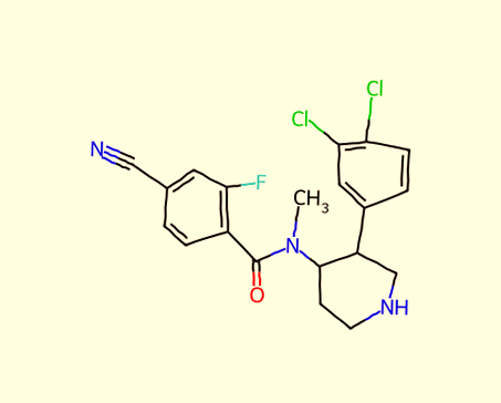 CN(C(=O)c1ccc(C#N)cc1F)C1CCNCC1c1ccc(Cl)c(Cl)c1